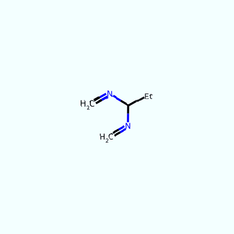 C=NC(CC)N=C